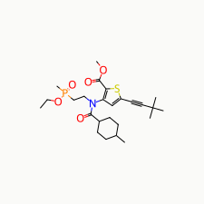 CCOP(C)(=O)CCN(C(=O)C1CCC(C)CC1)c1cc(C#CC(C)(C)C)sc1C(=O)OC